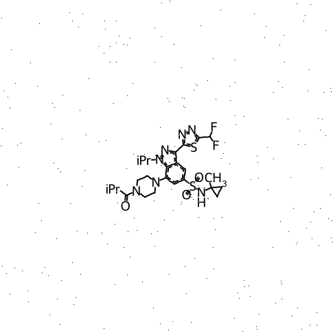 CC(C)C(=O)N1CCN(c2cc(S(=O)(=O)NC3(C)CC3)cc3c(-c4nnc(C(F)F)s4)nn(C(C)C)c23)CC1